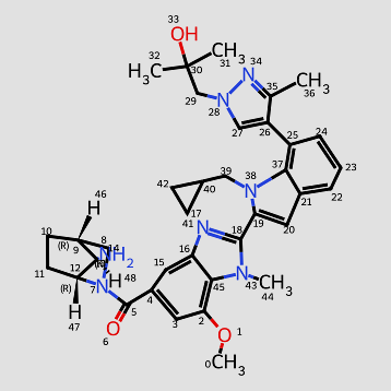 COc1cc(C(=O)N2C[C@H]3CC[C@@H]2[C@@H]3N)cc2nc(-c3cc4cccc(-c5cn(CC(C)(C)O)nc5C)c4n3CC3CC3)n(C)c12